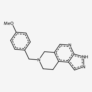 COc1ccc(CN2CCc3c(cnc4[nH]ncc34)C2)cc1